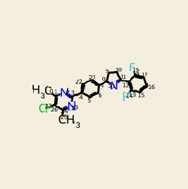 Cc1nc(-c2ccc(C3CCC(c4c(F)cccc4F)=N3)cc2)nc(C)c1Cl